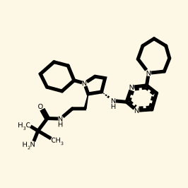 CC(C)(N)C(=O)NCC[C@@H]1[C@@H](Nc2nccc(N3CCCCCC3)n2)CCN1C1CCCCC1